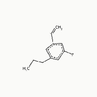 C=[C]c1cc(F)cc(CCC)c1